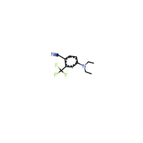 CCN(CC)c1[c]c(C(F)(F)F)c(C#N)cc1